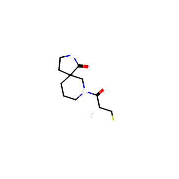 N[C@@H](CS)C(=O)N1CCCC2(CCNC2=O)C1